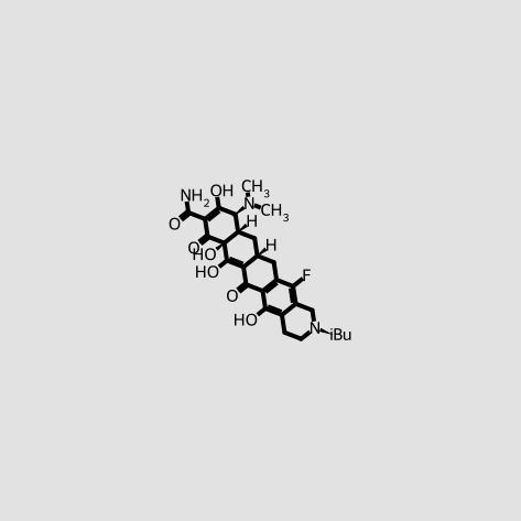 CC[C@H](C)N1CCc2c(O)c3c(c(F)c2C1)C[C@H]1C[C@H]2[C@H](N(C)C)C(O)=C(C(N)=O)C(=O)[C@@]2(O)C(O)=C1C3=O